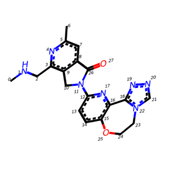 CNCc1nc(C)cc2c1CN(c1ccc3c(n1)-c1nncn1CCO3)C2=O